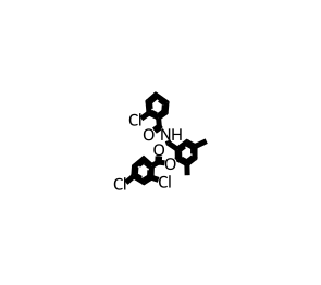 Cc1cc(C)c(OC(=O)c2ccc(Cl)cc2Cl)c(CNC(=O)c2ccccc2Cl)c1